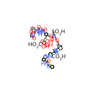 Cc1c(-c2ccc(N3CCc4cccc(C(=O)Nc5nc6ccccc6s5)c4C3)nc2C(=O)O)cnn1CC12CCCC(C)(CC(C)(CCOCCN(CCS(=O)(=O)O)C(=O)OCc3ccc(NC(=O)[C@H](C)NC(=O)[C@@H](NC(=O)CN4C(=O)C=CC4=O)C(C)C)cc3CC[C@@H]3O[C@H](C(=O)O)[C@@H](O)[C@H](O)[C@H]3O)C1)C2